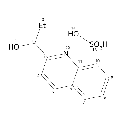 CCC(O)c1ccc2ccccc2n1.O=S(=O)(O)O